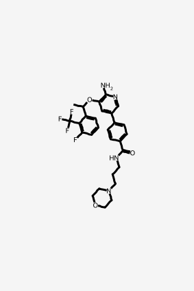 CC(Oc1cc(-c2ccc(C(=O)NCCCN3CCOCC3)cc2)cnc1N)c1cccc(F)c1C(F)(F)F